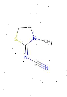 CN1CCS/C1=N/C#N